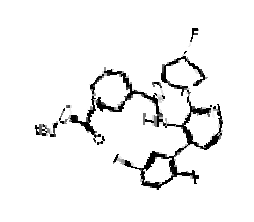 CC(C)(C)OC(=O)N1CCCC(C(=O)Nc2c(-c3cc(F)ccc3F)ccnc2N2CC[C@H](F)C2)C1